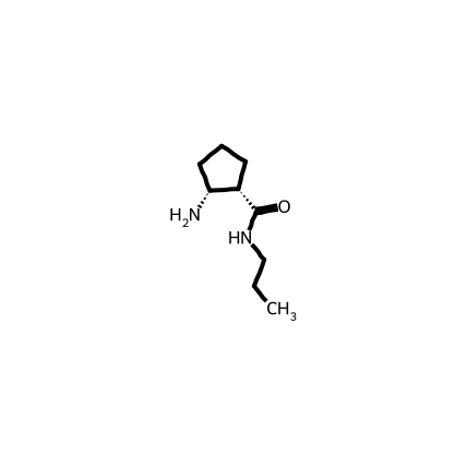 CCCNC(=O)[C@H]1CCC[C@H]1N